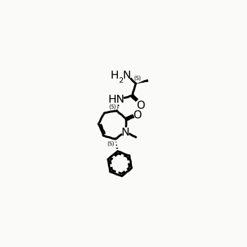 C[C@H](N)C(=O)N[C@H]1CC=C[C@@H](c2ccccc2)N(C)C1=O